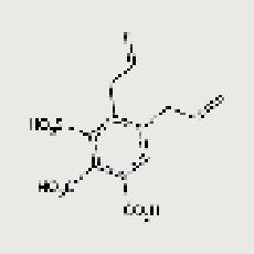 C=CCc1cc(C(=O)O)c(C(=O)O)c(S(=O)(=O)O)c1CC=C